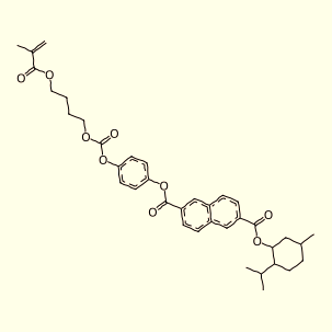 C=C(C)C(=O)OCCCCOC(=O)Oc1ccc(OC(=O)c2ccc3cc(C(=O)OC4CC(C)CCC4C(C)C)ccc3c2)cc1